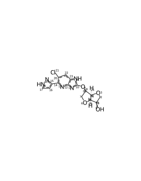 O[C@@H]1CO[C@H]2[C@@H]1OC[C@H]2Oc1nc2nc(-c3cc[nH]n3)c(Cl)cc2[nH]1